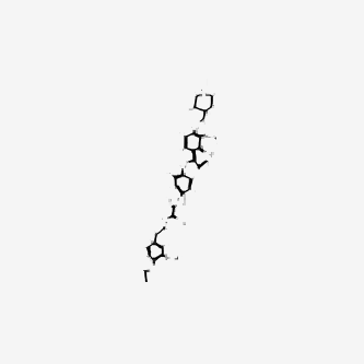 CCOc1ccc(CCNC(=O)C(=O)Nc2ccc(Oc3ccnc4c(OC)c(OCC5CCNCC5)ccc34)c(F)c2)cc1OC